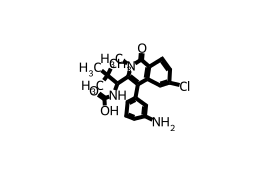 Cn1c(C(NC(=O)O)C(C)(C)C)c(-c2cccc(N)c2)c2cc(Cl)ccc2c1=O